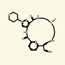 N=C/C1=C\NCCC[S+]([O-])CCNC(=O)c2nn(C3CCOCC3)cc2NC(=O)c2cccc1n2